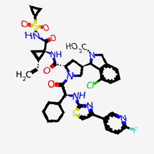 C=C[C@@H]1C[C@]1(NC(=O)[C@@H]1C[C@@H](C2c3c(Cl)cccc3CN2C(=O)O)CN1C(=O)[C@@H](Nc1nc(-c2ccc(F)nc2)cs1)C1CCCCC1)C(=O)NS(=O)(=O)C1CC1